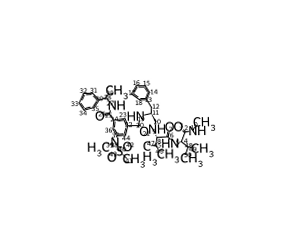 CNC(=O)[C@@H](NC(=O)[C@@H](NC[C@H](Cc1ccccc1)NC(=O)c1cc(C(=O)N[C@H](C)c2ccccc2)cc(N(C)S(C)(=O)=O)c1)C(C)C)C(C)C